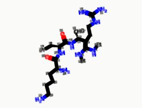 CCNC(NCC)=C(CCNC(=N)N)[C@@H]([C]=O)NC(=O)[C@H](CC(C)C)NC(=O)[C@H](N)CCCCN